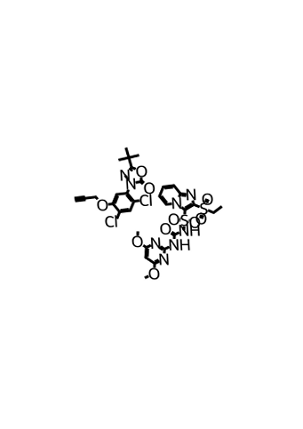 C#CCOc1cc(-n2nc(C(C)(C)C)oc2=O)c(Cl)cc1Cl.CCS(=O)(=O)c1nc2ccccn2c1S(=O)(=O)NC(=O)Nc1nc(OC)cc(OC)n1